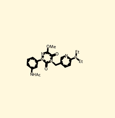 CCN(CC)c1ccc(Cn2c(=O)c(OC)nn(-c3cccc(NC(C)=O)c3)c2=O)cn1